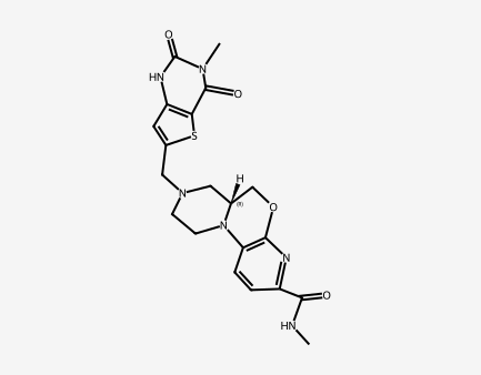 CNC(=O)c1ccc2c(n1)OC[C@H]1CN(Cc3cc4[nH]c(=O)n(C)c(=O)c4s3)CCN21